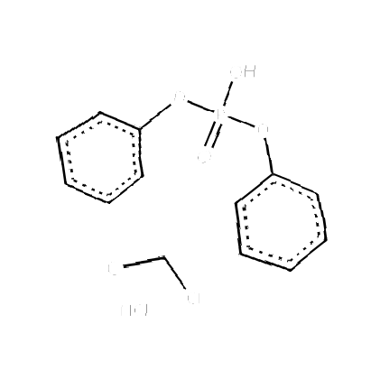 Cl.ClCCl.O=P(O)(Oc1ccccc1)Oc1ccccc1